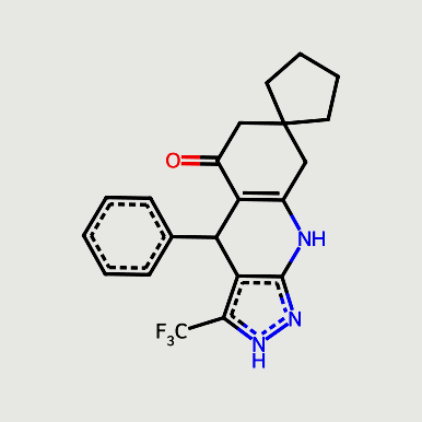 O=C1CC2(CCCC2)CC2=C1C(c1ccccc1)c1c(n[nH]c1C(F)(F)F)N2